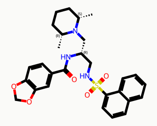 C[C@@H]1CCC[C@H](C)N1C[C@H](CNS(=O)(=O)c1cccc2ccccc12)NC(=O)c1ccc2c(c1)OCO2